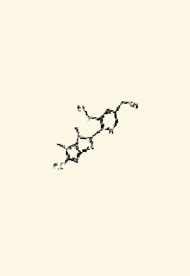 CCSc1cc(CC#N)cnc1-c1nc2cc(C(F)(F)F)n(C)c2n1C